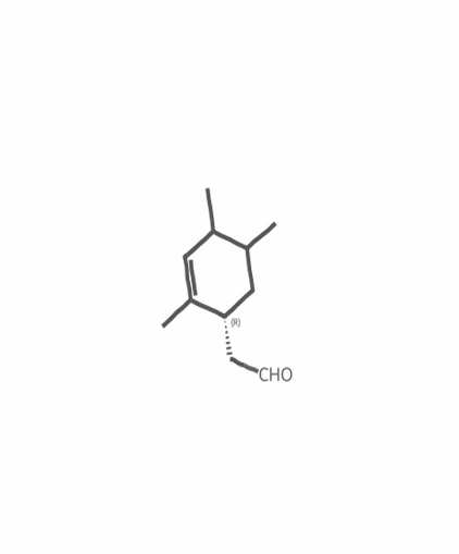 CC1=CC(C)C(C)C[C@@H]1CC=O